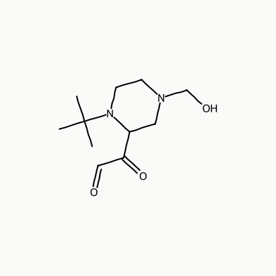 CC(C)(C)N1CCN(CO)CC1C(=O)C=O